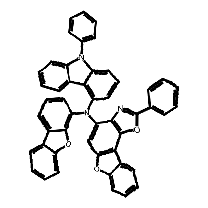 c1ccc(-c2nc3c(N(c4cccc5c4oc4ccccc45)c4cccc5c4c4ccccc4n5-c4ccccc4)cc4oc5ccccc5c4c3o2)cc1